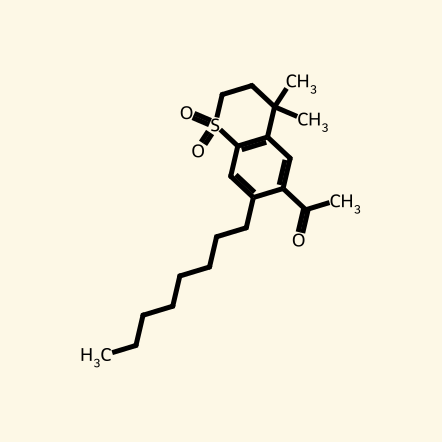 CCCCCCCCc1cc2c(cc1C(C)=O)C(C)(C)CCS2(=O)=O